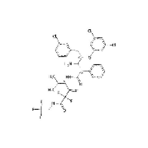 CC(C)[C@H](NC(=O)[C@@H](c1ccccc1)C(N)[C@H](Cc1cccc(Cl)c1)Oc1cc(Cl)cc(Cl)c1)C(=O)C(F)(F)C(=O)NCC(F)(F)F